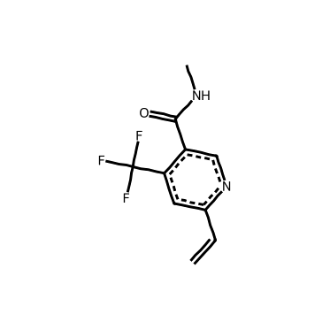 C=Cc1cc(C(F)(F)F)c(C(=O)NC)cn1